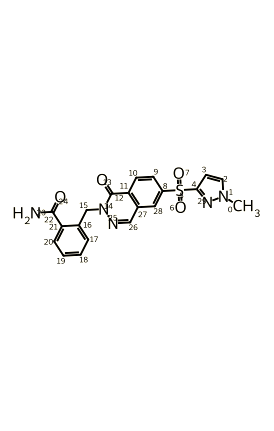 Cn1ccc(S(=O)(=O)c2ccc3c(=O)n(Cc4ccccc4C(N)=O)ncc3c2)n1